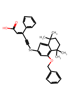 CC1(C)CCC(C)(C)c2c(OCc3ccccc3)cc([Se]C#CC(=CC(=O)O)c3ccccc3)cc21